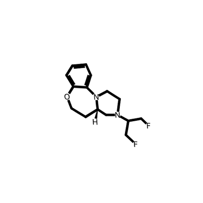 FCC(CF)N1CCN2c3ccccc3OCC[C@H]2C1